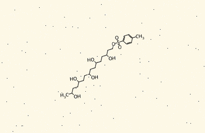 Cc1ccc(S(=O)(=O)OCCC(O)CCC(O)CCC(O)CCC(O)CCC(C)O)cc1